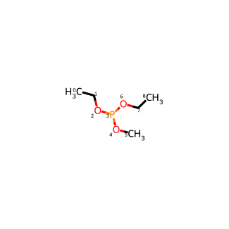 CCOP(OC)OCC